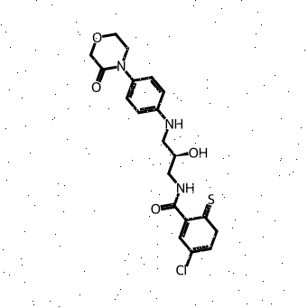 O=C(NC[C@H](O)CNc1ccc(N2CCOCC2=O)cc1)C1=CC(Cl)=CCC1=S